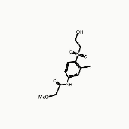 COCC(=O)Nc1ccc(S(=O)(=O)CCO)c(C)c1